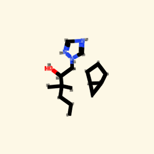 C1CC2CC2C1.CCCC(C)(C)C(O)Cn1cncn1